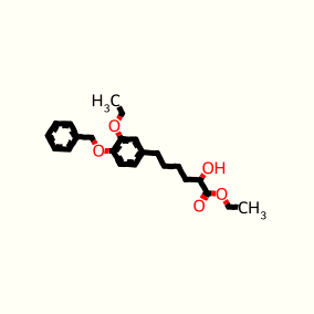 CCOC(=O)C(O)CCCCc1ccc(OCc2ccccc2)c(OCC)c1